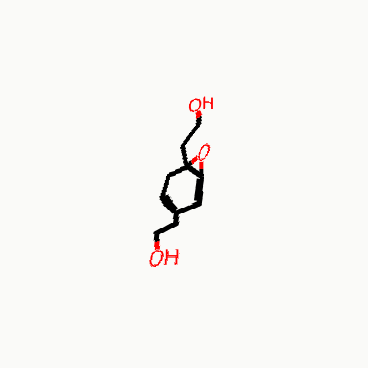 OCCC1=CCC2(CCO)OC2=C1